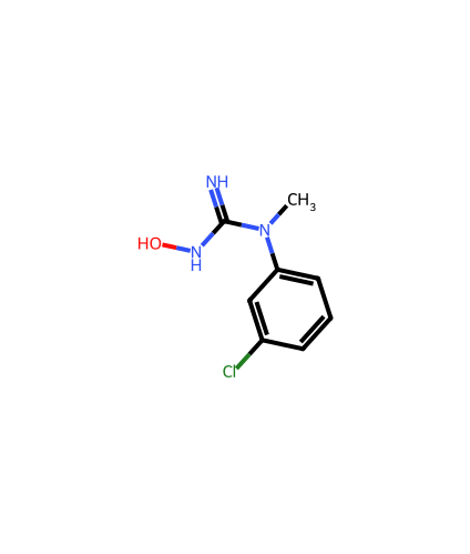 CN(C(=N)NO)c1cccc(Cl)c1